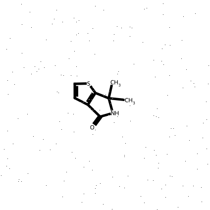 CC1(C)NC(=O)c2ccsc21